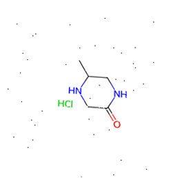 CC1CNC(=O)CN1.Cl